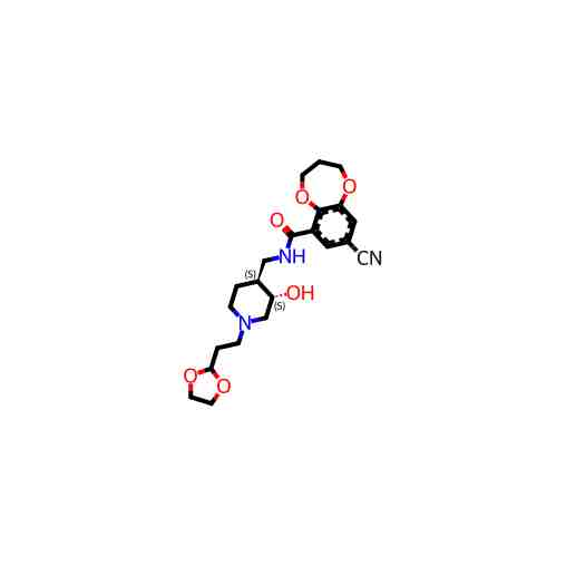 N#Cc1cc2c(c(C(=O)NC[C@@H]3CCN(CCC4OCCO4)C[C@H]3O)c1)OCCCO2